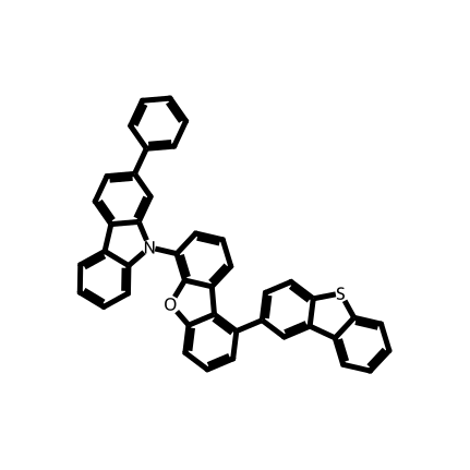 c1ccc(-c2ccc3c4ccccc4n(-c4cccc5c4oc4cccc(-c6ccc7sc8ccccc8c7c6)c45)c3c2)cc1